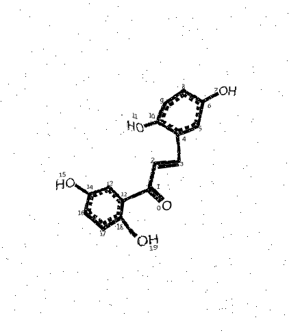 O=C(C=Cc1cc(O)ccc1O)c1cc(O)ccc1O